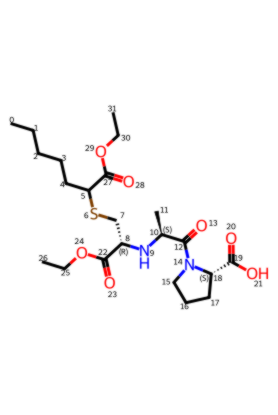 CCCCCC(SC[C@H](N[C@@H](C)C(=O)N1CCC[C@H]1C(=O)O)C(=O)OCC)C(=O)OCC